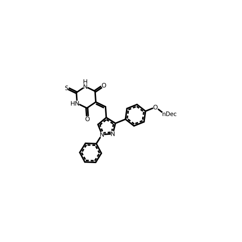 CCCCCCCCCCOc1ccc(-c2nn(-c3ccccc3)cc2C=C2C(=O)NC(=S)NC2=O)cc1